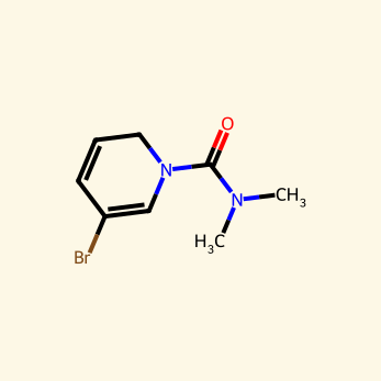 CN(C)C(=O)N1C=C(Br)C=CC1